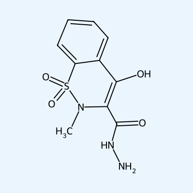 CN1C(C(=O)NN)=C(O)c2ccccc2S1(=O)=O